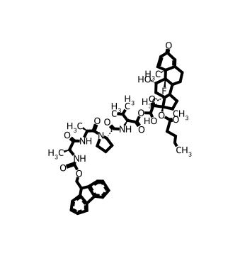 CCCCC(=O)O[C@]1(C(=O)C(O)OC(=O)[C@@H](NC(=O)[C@@H]2CCCN2C(=O)[C@H](C)NC(=O)[C@H](C)NC(=O)OCC2c3ccccc3-c3ccccc32)C(C)C)[C@@H](C)CC2C3CCC4=CC(=O)C=C[C@]4(C)[C@@]3(F)[C@@H](O)C[C@@]21C